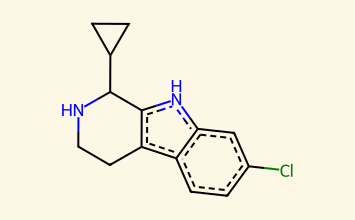 Clc1ccc2c3c([nH]c2c1)C(C1CC1)NCC3